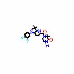 CC1(C)CN(c2ccc(F)c(F)c2)c2ccc(C(=O)N3CCNC(=O)C3(C)C)nc21